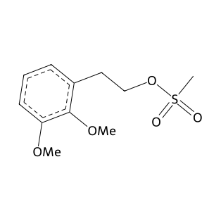 COc1cccc(CCOS(C)(=O)=O)c1OC